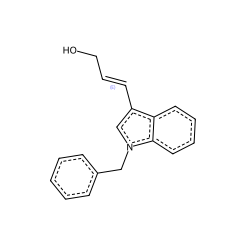 OC/C=C/c1cn(Cc2ccccc2)c2ccccc12